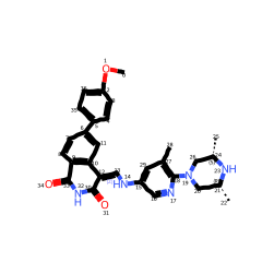 COc1ccc(-c2ccc3c(c2)/C(=C/Nc2cnc(N4C[C@@H](C)N[C@@H](C)C4)c(C)c2)C(=O)NC3=O)cc1